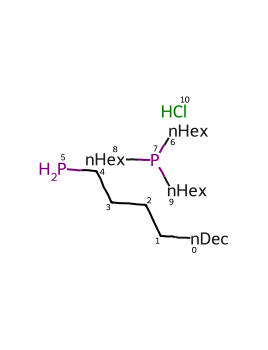 CCCCCCCCCCCCCCP.CCCCCCP(CCCCCC)CCCCCC.Cl